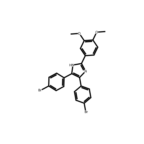 COc1ccc(-c2nc(-c3ccc(Br)cc3)c(-c3ccc(Br)cc3)[nH]2)cc1OC